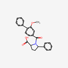 COc1cc(C(=O)N2C(C(=O)O)CCC2c2ccccc2)ccc1-c1ccccc1